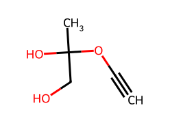 C#COC(C)(O)CO